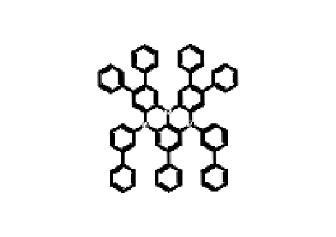 c1ccc(-c2cccc(N3c4cc(-c5ccccc5)c(-c5ccccc5)cc4B4c5cc(-c6ccccc6)c(-c6ccccc6)cc5N(c5cccc(-c6ccccc6)c5)c5cc(-c6ccccc6)cc3c54)c2)cc1